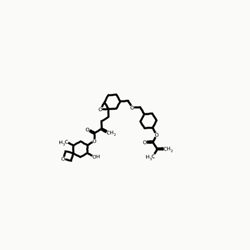 C=C(C)C(=O)OC1CCC(COCC2CCC3OC3(CCC(=C)C(=O)OC3CC(C)C4(COC4)CC3O)C2)CC1